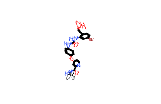 CNC(=O)c1cc(Oc2ccc(NC(=O)Nc3cc(Br)ccc3CO)cc2)ccn1